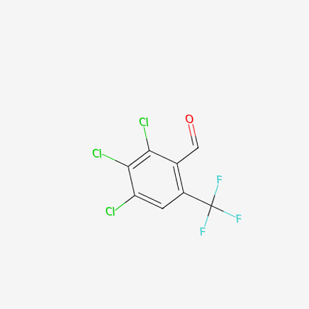 O=Cc1c(C(F)(F)F)cc(Cl)c(Cl)c1Cl